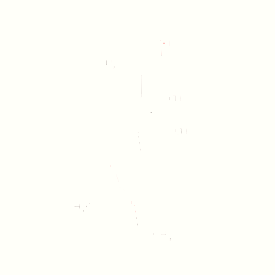 CCOC(C)OCC1CC(=C(C)CO)C1(C)C